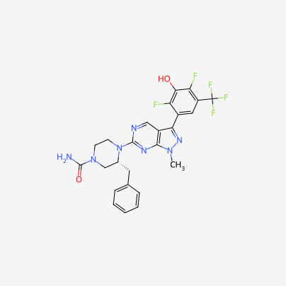 Cn1nc(-c2cc(C(F)(F)F)c(F)c(O)c2F)c2cnc(N3CCN(C(N)=O)C[C@H]3Cc3ccccc3)nc21